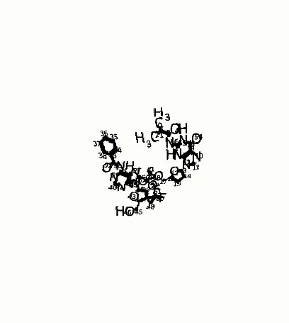 CC(C)C(=O)Nc1nc2c(ncn2[C@H]2CC[C@@H](COP(O)(=S)OC3[C@H](n4cnc5c(NC(=O)c6ccccc6)ncnc54)O[C@H](CO)[C@]34CC4(F)F)O2)c(=O)[nH]1